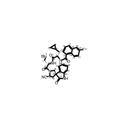 CC(C)(C)C[C@H](NC(=O)[C@H](CC1CC1)NC(=O)c1cccc2cc(F)ccc12)C(=O)N1C[C@]2(C[C@H]1C#N)C(=O)Nc1ccccc12